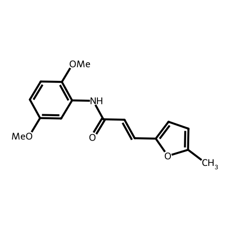 COc1ccc(OC)c(NC(=O)/C=C/c2ccc(C)o2)c1